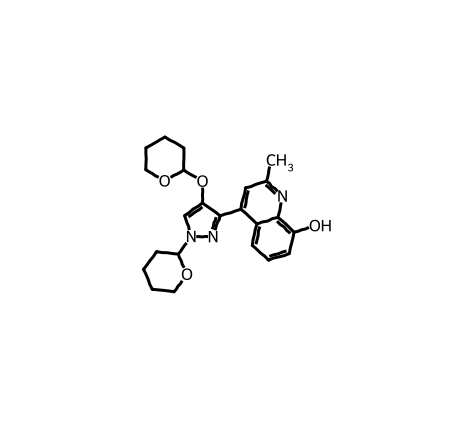 Cc1cc(-c2nn(C3CCCCO3)cc2OC2CCCCO2)c2cccc(O)c2n1